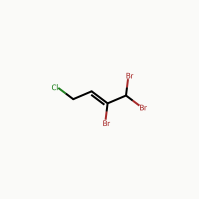 ClCC=C(Br)C(Br)Br